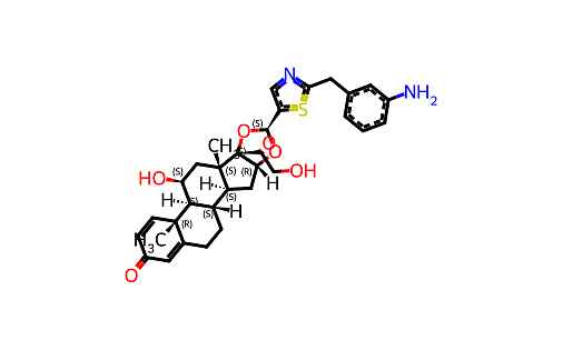 C[C@]12C=CC(=O)C=C1CC[C@@H]1[C@@H]2[C@@H](O)C[C@@]2(C)[C@H]1C[C@H]1O[C@H](c3cnc(Cc4cccc(N)c4)s3)O[C@]12C(=O)CO